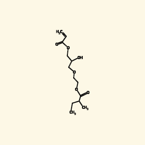 C=CC(=O)OCC(O)COCCOC(=O)C(C)CC